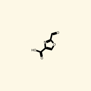 O=Cc1nc(C(=O)O)co1